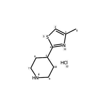 Cc1csc(C2CCNCC2)n1.Cl